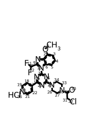 COc1cccc2c1nc(C(F)F)n2-c1nc(-c2ccncc2)nc(N2CCN(C(=O)CCl)CC2)n1.Cl